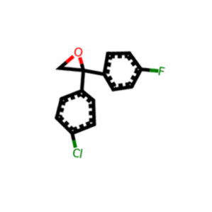 Fc1ccc(C2(c3ccc(Cl)cc3)CO2)cc1